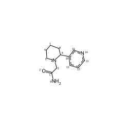 NC(=O)CN1CCCCC1c1cccnc1